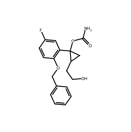 NC(=O)OC1(c2cc(F)ccc2OCc2ccccc2)CC1CCO